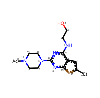 CCc1cc2c(NCCO)nc(N3CCN(C(C)=O)CC3)nc2s1